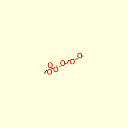 CCOC(=O)OCCOCCOCCOC